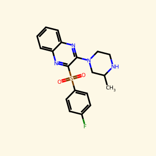 CC1CN(c2nc3ccccc3nc2S(=O)(=O)c2ccc(F)cc2)CCN1